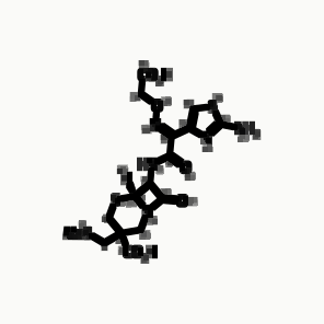 CSCC1(C(=O)O)CS[C@@H]2C(NC(=O)C(=NOCC(=O)O)c3csc(N)n3)C(=O)N2C1